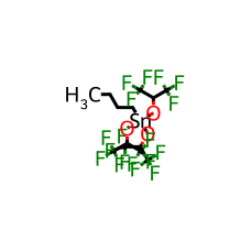 CCC[CH2][Sn]([O]C(C(F)(F)F)C(F)(F)F)([O]C(C(F)(F)F)C(F)(F)F)[O]C(C(F)(F)F)C(F)(F)F